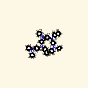 c1ccc(N(c2ccccc2)c2ccc(N(c3ccc4ccccc4c3)c3ccc4c(c3)c3cc(N(c5ccc(N(c6ccccc6)c6ccccc6)cc5)c5ccc6ccccc6c5)ccc3n4-c3ccccc3)cc2)cc1